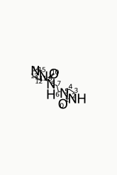 O=C1NCCN1CCNC(=O)n1ccnc1